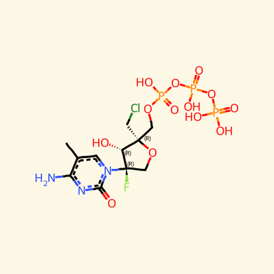 Cc1cn([C@@]2(F)CO[C@](CCl)(COP(=O)(O)OP(=O)(O)OP(=O)(O)O)[C@H]2O)c(=O)nc1N